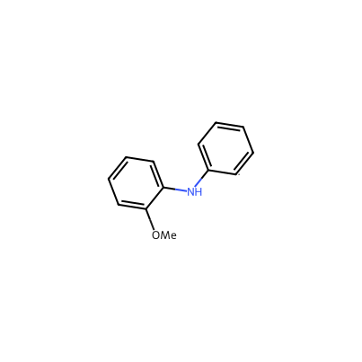 COc1ccccc1Nc1[c]cccc1